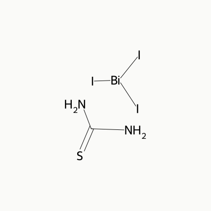 NC(N)=S.[I][Bi]([I])[I]